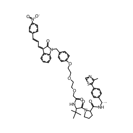 Cc1ncsc1-c1ccc([C@H](C)NC(=O)C2CCCN2C(=O)C(NC(=O)COCCOCCOc2ccc(CN3C(=O)/C(=C\C=C\c4ccc([N+](=O)[O-])cc4)c4ccccc43)cc2)C(C)(C)C)cc1